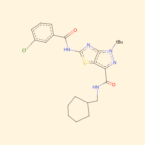 CC(C)(C)n1nc(C(=O)NCC2CCCCC2)c2sc(NC(=O)c3cccc(Cl)c3)nc21